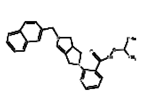 CC(C)COC(C)ONC(=O)c1cccnc1N1CC2=CN(Cc3ccc4ccccc4c3)CC2C1